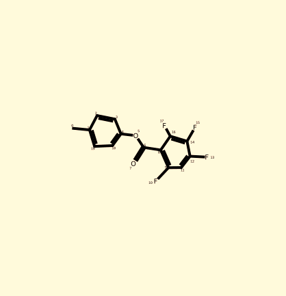 Cc1ccc(OC(=O)c2c(F)cc(F)c(F)c2F)cc1